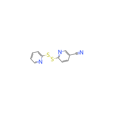 N#Cc1ccc(SSc2ccccn2)nc1